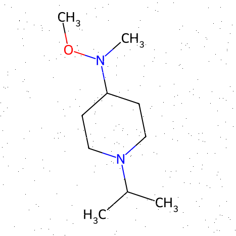 CON(C)C1CCN(C(C)C)CC1